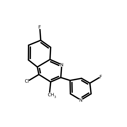 Cc1c(-c2cncc(F)c2)nc2cc(F)ccc2c1Cl